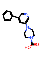 O=C(O)N1CCN(c2cncc(-c3ccccc3)c2)CC1